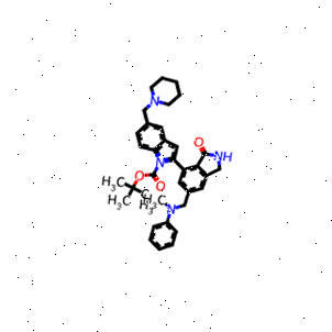 CN(Cc1cc2c(c(-c3cc4cc(CN5CCCCC5)ccc4n3C(=O)OC(C)(C)C)c1)C(=O)NC2)c1ccccc1